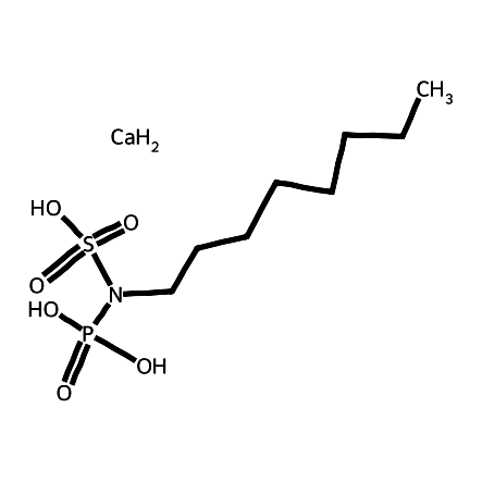 CCCCCCCCN(P(=O)(O)O)S(=O)(=O)O.[CaH2]